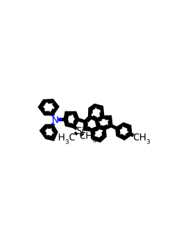 Cc1ccc(-c2cc3cccc4c5c(c6cccc2c6c34)[Si](C)(C)c2cc(N(c3ccccc3)c3ccccc3)ccc2-5)cc1